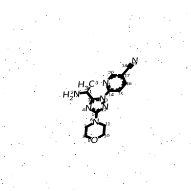 C[C@H](N)c1nc(N2CCOCC2)nn1-c1ccc(C#N)cn1